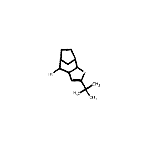 CC(C)(C)C1=CC2C(O)C3CCC(C3)C2S1